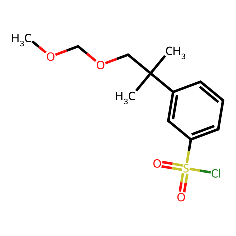 COCOCC(C)(C)c1cccc(S(=O)(=O)Cl)c1